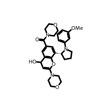 COc1cccc(N2CCC[C@@H]2c2cc(C(=O)N3CCOCC3)cc3c2OC(N2CCOCC2)=CC3O)c1